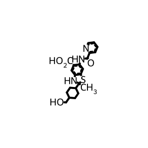 CC1(C2CCC(CO)CC2)Nc2cc(C(=O)O)c(NC(=O)c3ccccn3)cc2S1